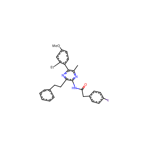 CCc1cc(OC)ccc1-c1nc(CCc2ccccc2)c(NC(=O)Cc2ccc(I)cc2)nc1C